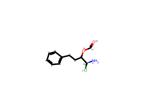 N[C@@H](Cl)C(CCc1ccccc1)OC=O